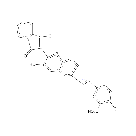 O=C(O)c1cc(/C=C/c2ccc3nc(C4=C(O)c5ccccc5C4=O)c(O)cc3c2)ccc1O